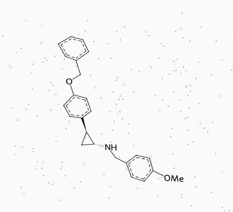 COc1ccc(CN[C@@H]2C[C@H]2c2ccc(OCc3ccccc3)cc2)cc1